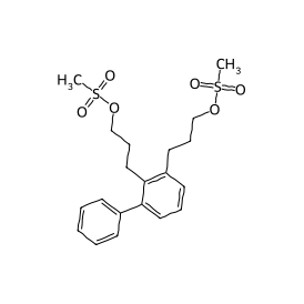 CS(=O)(=O)OCCCc1cccc(-c2ccccc2)c1CCCOS(C)(=O)=O